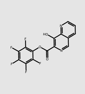 O=C(Oc1c(F)c(F)c(F)c(F)c1F)c1ncc2cccnc2c1O